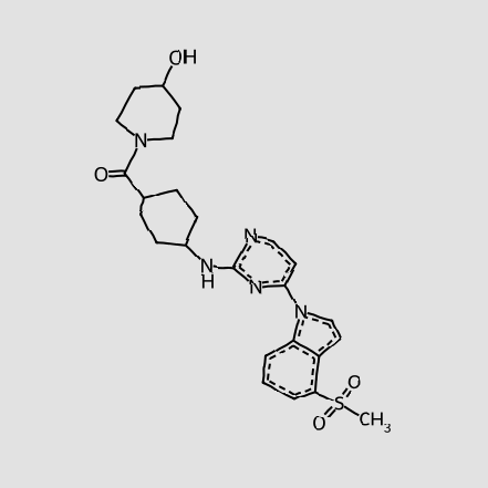 CS(=O)(=O)c1cccc2c1ccn2-c1ccnc(NC2CCC(C(=O)N3CCC(O)CC3)CC2)n1